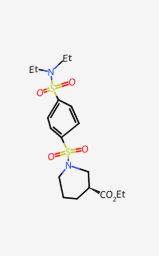 CCOC(=O)[C@H]1CCCN(S(=O)(=O)c2ccc(S(=O)(=O)N(CC)CC)cc2)C1